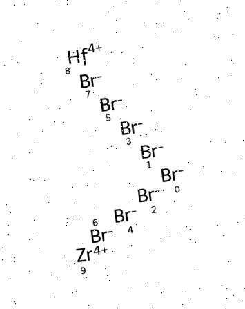 [Br-].[Br-].[Br-].[Br-].[Br-].[Br-].[Br-].[Br-].[Hf+4].[Zr+4]